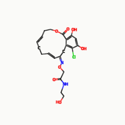 O=C(CON=C1/C=C/CC/C=C/CCOC(=O)c2c(O)cc(O)c(Cl)c2C1)NCCO